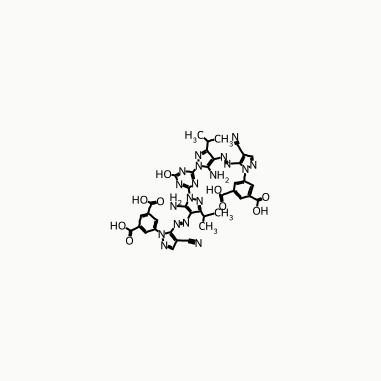 CC(C)c1nn(-c2nc(O)nc(-n3nc(C(C)C)c(N=Nc4c(C#N)cnn4-c4cc(C(=O)O)cc(C(=O)O)c4)c3N)n2)c(N)c1N=Nc1c(C#N)cnn1-c1cc(C(=O)O)cc(C(=O)O)c1